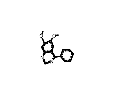 COc1cc2ncnc(-c3c[c]ccc3)c2cc1OC